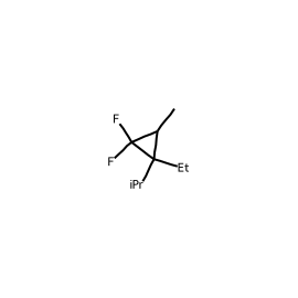 CCC1(C(C)C)C(C)C1(F)F